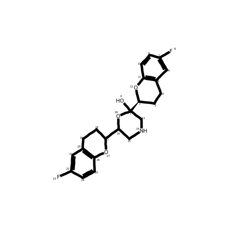 OC1([C@@H]2CCc3cc(F)ccc3O2)CNCC(C2CCc3cc(F)ccc3O2)O1